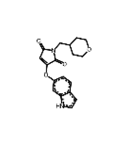 O=C1C=C(Oc2ccc3cc[nH]c3c2)C(=O)N1CC1CCOCC1